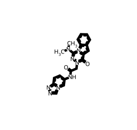 CN(C)c1nn(CC(=O)Nc2ccc3nncn3c2)c(=O)c2cc3ccccc3n12